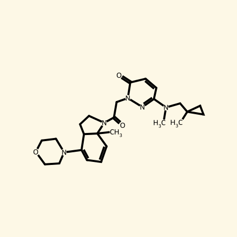 CN(CC1(C)CC1)c1ccc(=O)n(CC(=O)N2CCC3C(N4CCOCC4)=CC=CC32C)n1